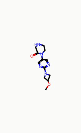 COC1CN(c2ncc(N3CCNCC3=O)cn2)C1